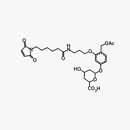 CC(=O)OCc1ccc(OC2CC(O)CC(C(=O)O)O2)cc1OCCCNC(=O)CCCCCN1C(=O)C=CC1=O